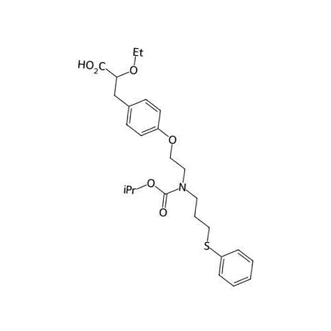 CCOC(Cc1ccc(OCCN(CCCSc2ccccc2)C(=O)OC(C)C)cc1)C(=O)O